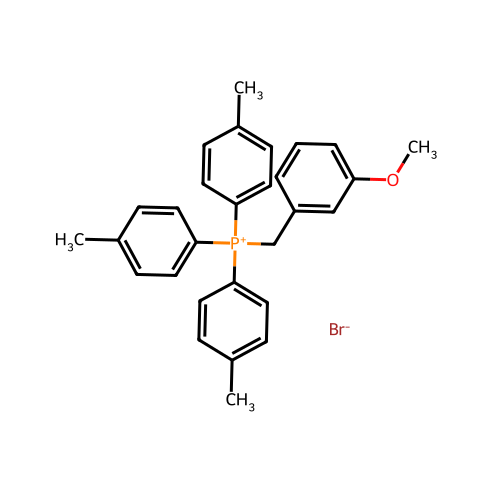 COc1cccc(C[P+](c2ccc(C)cc2)(c2ccc(C)cc2)c2ccc(C)cc2)c1.[Br-]